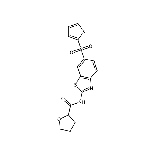 O=C(Nc1nc2ccc(S(=O)(=O)c3cccs3)cc2s1)C1CCCO1